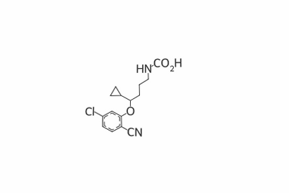 N#Cc1ccc(Cl)cc1OC(CCCNC(=O)O)C1CC1